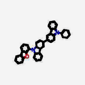 C1=CCCC(n2c3ccccc3c3cc(C4=CC5c6ccccc6N(c6cccc7c6oc6ccccc67)C5C=C4)ccc32)=C1